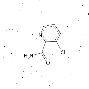 NC(=O)c1ncc[c]c1Cl